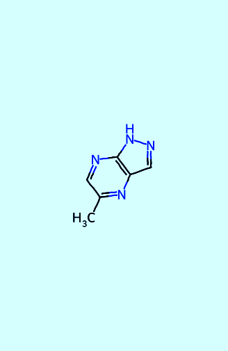 Cc1cnc2[nH]ncc2n1